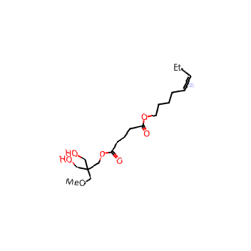 CC/C=C\CCCCOC(=O)CCCC(=O)OCC(CO)(CO)COC